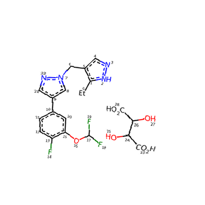 CCc1[nH]ncc1Cn1cc(-c2ccc(F)c(OC(F)F)c2)cn1.O=C(O)C(O)C(O)C(=O)O